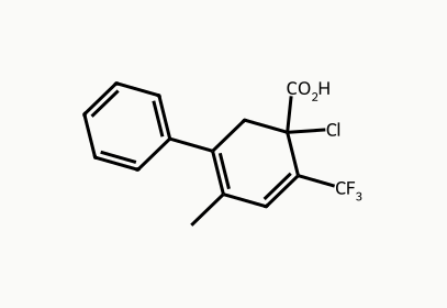 CC1=C(c2ccccc2)CC(Cl)(C(=O)O)C(C(F)(F)F)=C1